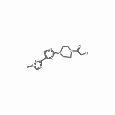 Cn1cnc(-c2cnc(N3CCN(C(=O)CCl)CC3)s2)n1